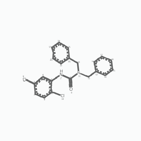 O=C(Nc1cc(Cl)ccc1Cl)N(Cc1ccccc1)Cc1ccccc1